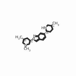 C[C@@H]1C[C@@H](n2cc3ccc([C@H]4CC[C@H](C)CN4)cc3n2)CN(C)C1